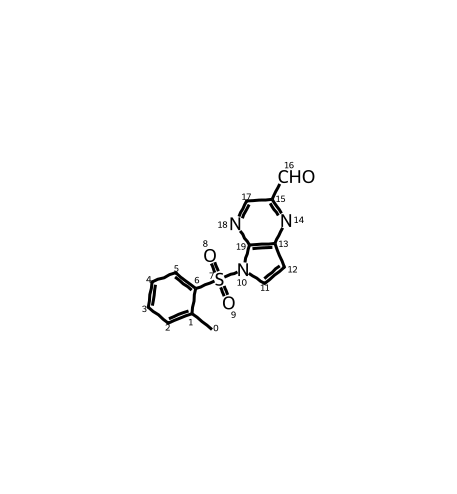 Cc1ccccc1S(=O)(=O)n1ccc2nc(C=O)cnc21